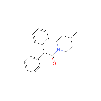 CC1CCN(C(=O)C(c2ccccc2)c2ccccc2)CC1